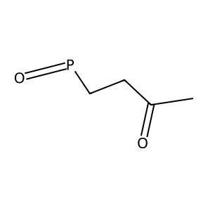 CC(=O)CCP=O